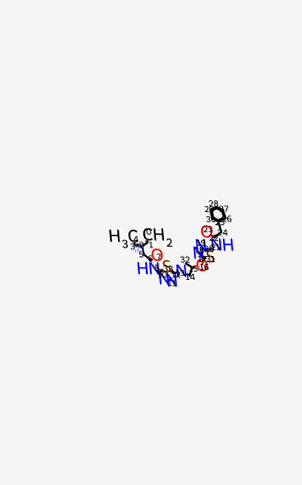 C=C/C(=C\C)CC(=O)Nc1nnc(N2CC(Oc3nnc(NC(=O)Cc4ccccc4)s3)C2)s1